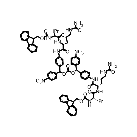 CC(C)[C@H](NC(=O)OCC1c2ccccc2-c2ccccc21)C(=O)N[C@@H](CCCNC(N)=O)C(=O)Nc1ccc(C(OC(=O)OC(c2ccc(NC(=O)[C@H](CCCNC(N)=O)NC(=O)[C@@H](NC(=O)OCC3c4ccccc4-c4ccccc43)C(C)C)cc2)c2ccc([N+](=O)[O-])cc2)c2ccc([N+](=O)[O-])cc2)cc1